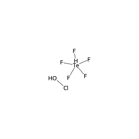 F[TeH](F)(F)(F)F.OCl